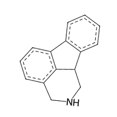 c1ccc2c(c1)-c1cccc3c1C2CNC3